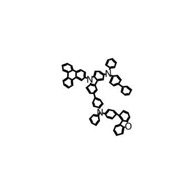 c1ccc(-c2ccc(N(c3ccccc3)c3ccc4c(c3)c3cc(-c5ccc(N(c6ccccc6)c6ccc(-c7cccc8oc9ccccc9c78)cc6)cc5)ccc3n4-c3ccc4c5ccccc5c5ccccc5c4c3)cc2)cc1